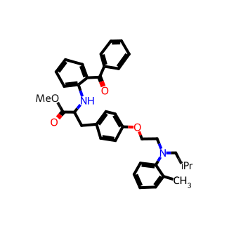 COC(=O)C(Cc1ccc(OCCN(CC(C)C)c2ccccc2C)cc1)Nc1ccccc1C(=O)c1ccccc1